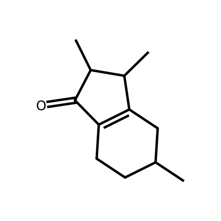 CC1CCC2=C(C1)C(C)C(C)C2=O